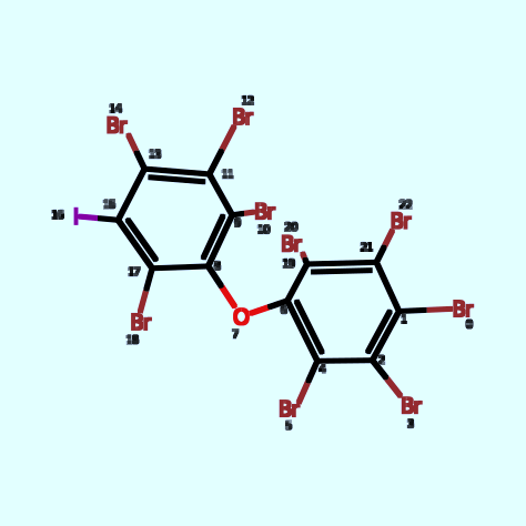 Brc1c(Br)c(Br)c(Oc2c(Br)c(Br)c(Br)c(I)c2Br)c(Br)c1Br